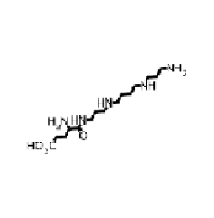 NCCCNCCCCNCCCNC(=O)C(N)CCC(=O)O